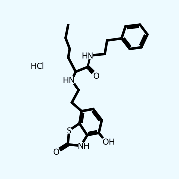 CCCCC(NCCc1ccc(O)c2[nH]c(=O)sc12)C(=O)NCCc1ccccc1.Cl